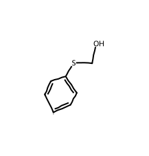 OCSc1cc[c]cc1